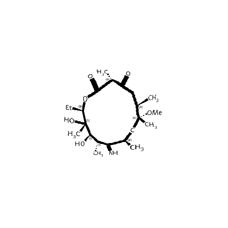 CC[C@H]1OC(=O)[C@H](C)C(=O)C[C@@H](C)[C@](C)(OC)C[C@@H](C)C(=N)[C@H](C)[C@@H](O)[C@]1(C)O